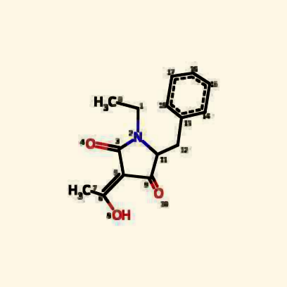 CCN1C(=O)/C(=C(\C)O)C(=O)C1Cc1ccccc1